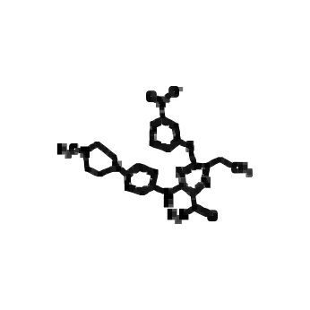 CCc1nc(C(N)=O)c(Nc2ccc(N3CCN(C)CC3)cc2)nc1Sc1cccc([N+](=O)[O-])c1